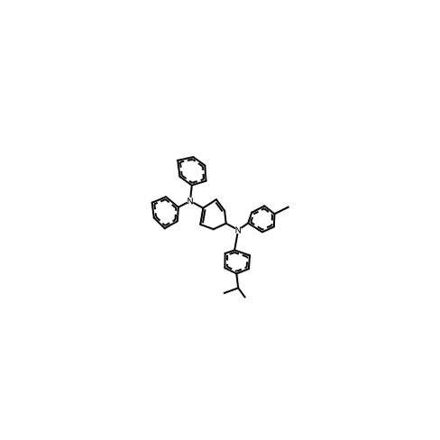 Cc1ccc(N(c2ccc(C(C)C)cc2)C2C=CC(N(c3ccccc3)c3ccccc3)=CC2)cc1